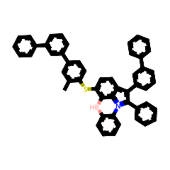 Cc1cc(-c2cccc(-c3ccccc3)c2)ccc1Sc1ccc2c(-c3cccc(-c4ccccc4)c3)c(-c3ccccc3)n3c2c1Bc1ccccc1-3